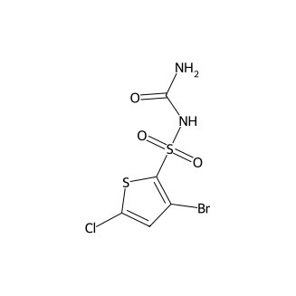 NC(=O)NS(=O)(=O)c1sc(Cl)cc1Br